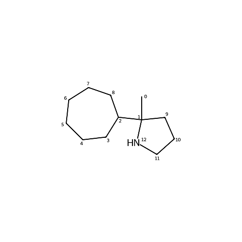 CC1(C2CCCCCC2)CCCN1